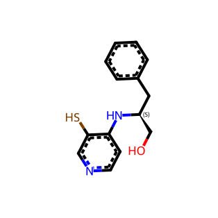 OC[C@H](Cc1ccccc1)Nc1ccncc1S